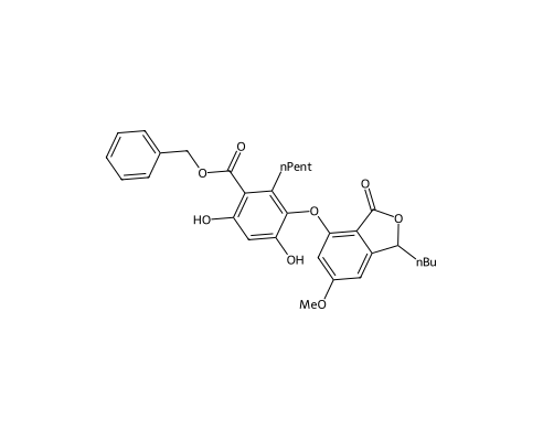 CCCCCc1c(Oc2cc(OC)cc3c2C(=O)OC3CCCC)c(O)cc(O)c1C(=O)OCc1ccccc1